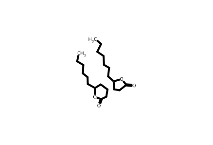 CCCCCCC1CCCC(=O)O1.CCCCCCCC1CCC(=O)O1